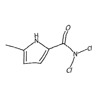 Cc1ccc(C(=O)N(Cl)Cl)[nH]1